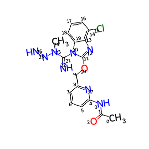 CC(=O)Nc1cccc(COc2nc3c(Cl)cccc3n2C(=N)N(C)N=N)n1